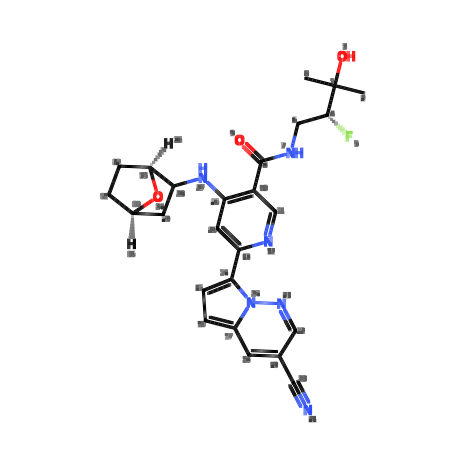 CC(C)(O)[C@H](F)CNC(=O)c1cnc(-c2ccc3cc(C#N)cnn23)cc1NC1C[C@H]2CC[C@@H]1O2